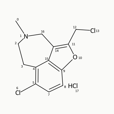 CN1CCc2c(Cl)ccc3oc(CCl)c(c23)C1.Cl